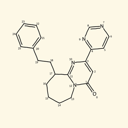 O=c1cc(-c2ccncn2)nc2n1CCCCC2CCc1ccccc1